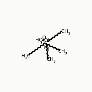 CCCCCCCCCCCC[SH](CCCCCCCCCCCC)[SnH]([CH2]CCCCCCC)[CH2]CCCCCCC.O=C(O)C(=O)O